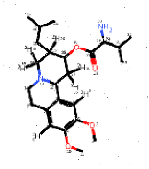 [2H]c1c2c(c([2H])c(OC)c1OC)C1N(CC2)C([2H])([2H])C([2H])(CC(C)C)C(OC(=O)[C@@H](N)C(C)C)C1([2H])[2H]